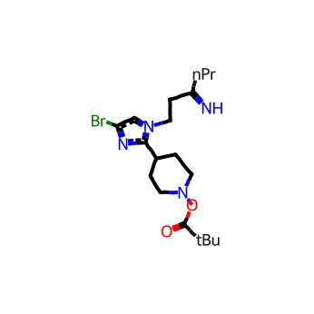 CCCC(=N)CCn1cc(Br)nc1C1CCN(OC(=O)C(C)(C)C)CC1